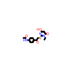 CCn1c(SCC(=O)c2ccc(NC(C)=O)cc2)nc(O)cc1=O